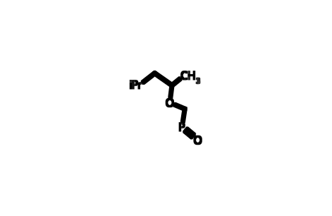 CC(C)CC(C)OCP=O